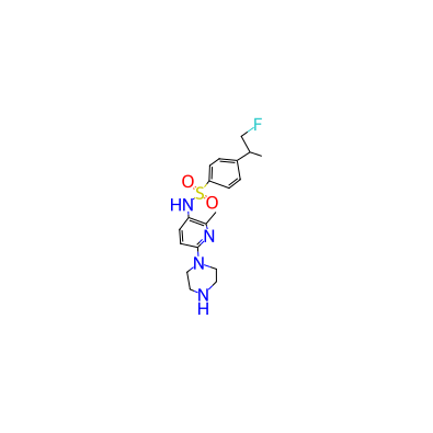 Cc1nc(N2CCNCC2)ccc1NS(=O)(=O)c1ccc(C(C)CF)cc1